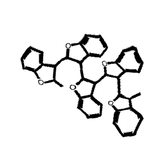 CC1Oc2ccccc2C1C1Oc2ccccc2C1C1Oc2ccccc2C1C1Oc2ccccc2C1C1Oc2ccccc2C1C